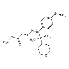 COC(=O)CO/N=C(/c1ccc(SC)cc1)C(C)(C)N1CCOCC1